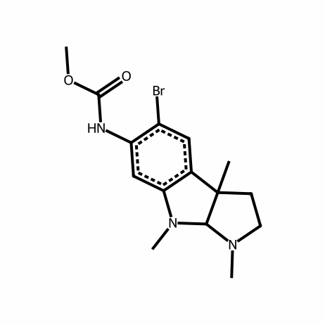 COC(=O)Nc1cc2c(cc1Br)C1(C)CCN(C)C1N2C